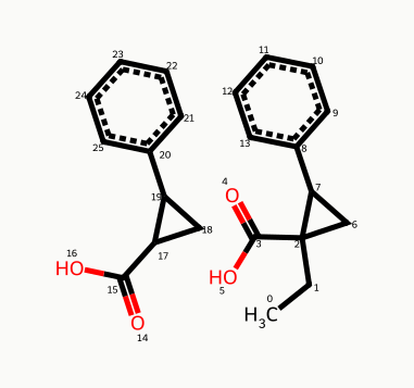 CCC1(C(=O)O)CC1c1ccccc1.O=C(O)C1CC1c1ccccc1